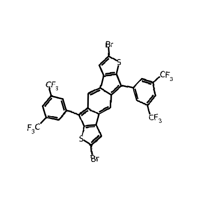 FC(F)(F)c1cc(C2=c3cc4c(cc3-c3cc(Br)sc32)=C(c2cc(C(F)(F)F)cc(C(F)(F)F)c2)c2sc(Br)cc2-4)cc(C(F)(F)F)c1